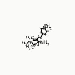 C=N/C(C)=C(CCC1CCN(C)CC1)\C(N)=N/CC